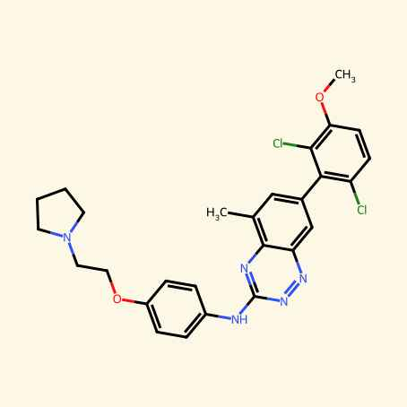 COc1ccc(Cl)c(-c2cc(C)c3nc(Nc4ccc(OCCN5CCCC5)cc4)nnc3c2)c1Cl